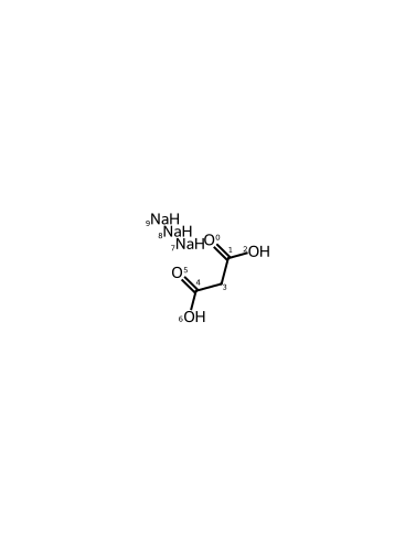 O=C(O)CC(=O)O.[NaH].[NaH].[NaH]